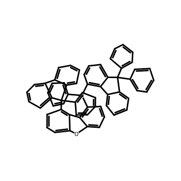 c1ccc(N(c2cccc3c2-c2ccccc2C3(c2ccccc2)c2ccccc2)c2cccc3oc4cccc(C5(c6ccccc6)c6ccccc6-c6ccccc65)c4c23)cc1